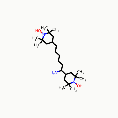 CC1(C)CC(CCCCCC(N)C2CC(C)(C)N(O)C(C)(C)C2)CC(C)(C)N1O